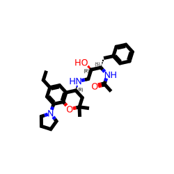 CCc1cc2c(c(N3CCCC3)c1)OC(C)(C)C[C@H]2NC[C@@H](O)[C@H](Cc1ccccc1)NC(C)=O